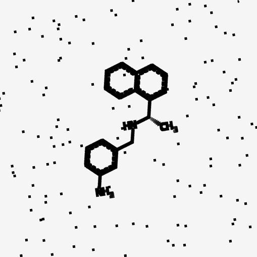 C[C@H](NCc1cccc(N)c1)c1cccc2ccccc12